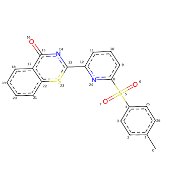 Cc1ccc(S(=O)(=O)c2cccc(-c3nc(=O)c4ccccc4s3)n2)cc1